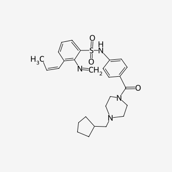 C=Nc1c(/C=C\C)cccc1S(=O)(=O)Nc1ccc(C(=O)N2CCN(CC3CCCC3)CC2)cc1